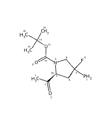 CC(=O)[C@@H]1CC(F)(P)CN1C(=O)OC(C)(C)C